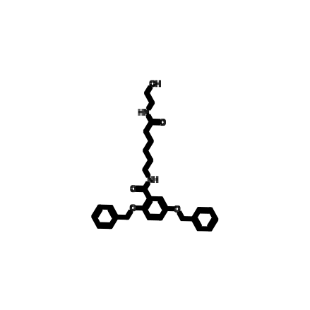 O=C(CCCCCNC(=O)c1cc(OCc2ccccc2)ccc1OCc1ccccc1)NCCO